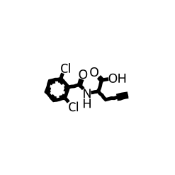 C#CCC(NC(=O)c1c(Cl)cccc1Cl)C(=O)O